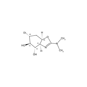 CC[C@@H]1C[C@H]2OC(N(C)C)=N[C@H]2[C@H](O)[C@H]1O